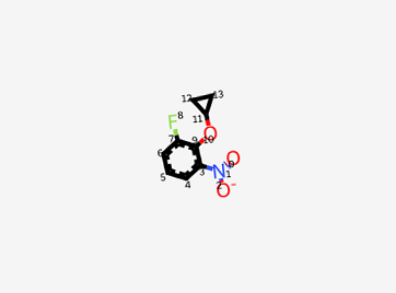 O=[N+]([O-])c1cccc(F)c1OC1CC1